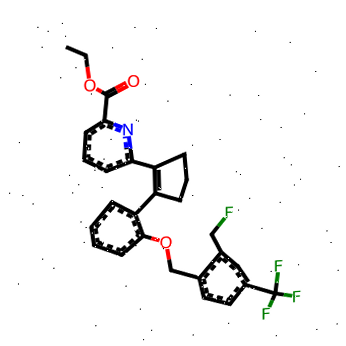 CCOC(=O)c1cccc(C2=C(c3ccccc3OCc3ccc(C(F)(F)F)cc3CF)CCC2)n1